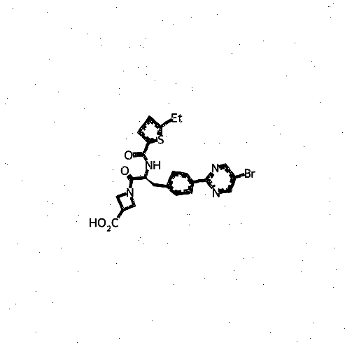 CCc1ccc(C(=O)N[C@@H](Cc2ccc(-c3ncc(Br)cn3)cc2)C(=O)N2CC(C(=O)O)C2)s1